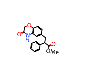 COC(=O)C(Cc1ccc2c(c1)NC(=O)CO2)c1ccccc1